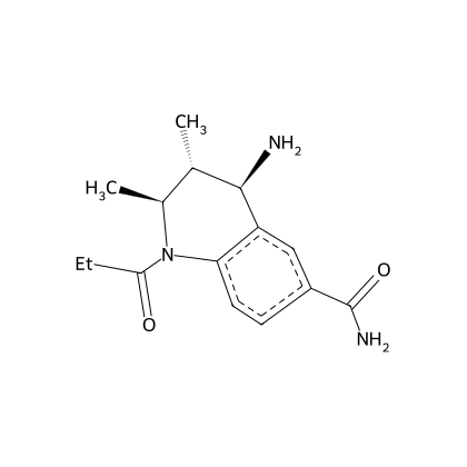 CCC(=O)N1c2ccc(C(N)=O)cc2[C@H](N)[C@@H](C)[C@@H]1C